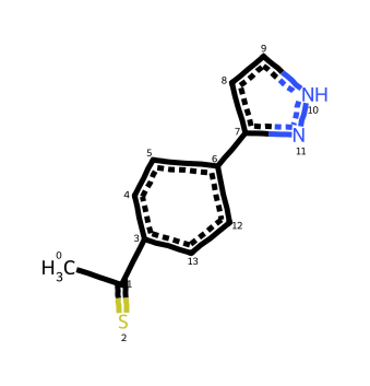 CC(=S)c1ccc(-c2cc[nH]n2)cc1